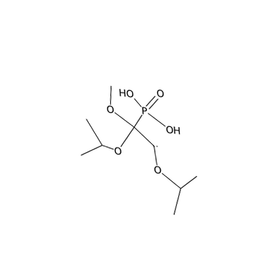 COC([CH]OC(C)C)(OC(C)C)P(=O)(O)O